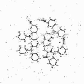 [C-]#[N+]c1cccc(N(c2ccccc2)c2cc(N(c3ccccc3)c3cccc(C#N)c3)cc(-n3c4ccc(N(c5ccccc5)c5cccc(C#N)c5)cc4c4cc(N(c5ccccc5)c5cccc([N+]#[C-])c5)ccc43)c2)c1